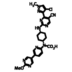 COc1ncc(-c2ccc(N(C(=O)O)[C@H]3CC[C@H](Nc4ncc(C#N)c(-c5nn(C)cc5Cl)n4)CC3)nc2)cn1